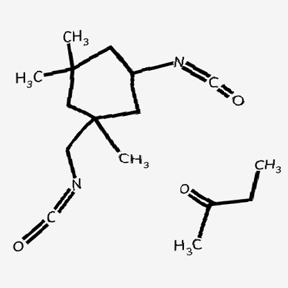 CC1(C)CC(N=C=O)CC(C)(CN=C=O)C1.CCC(C)=O